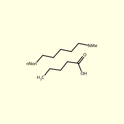 CCCCC(=O)O.CCCCCCCCCCCCCCNC